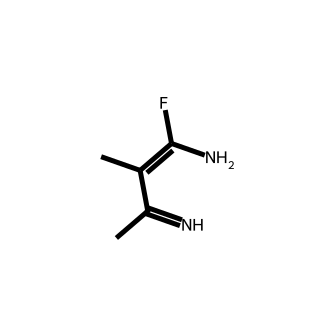 CC(=N)/C(C)=C(\N)F